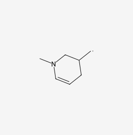 [CH2]C1CC=CN(C)C1